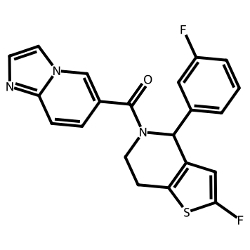 O=C(c1ccc2nccn2c1)N1CCc2sc(F)cc2C1c1cccc(F)c1